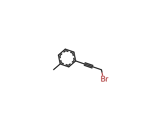 Cc1cccc(C#CCBr)c1